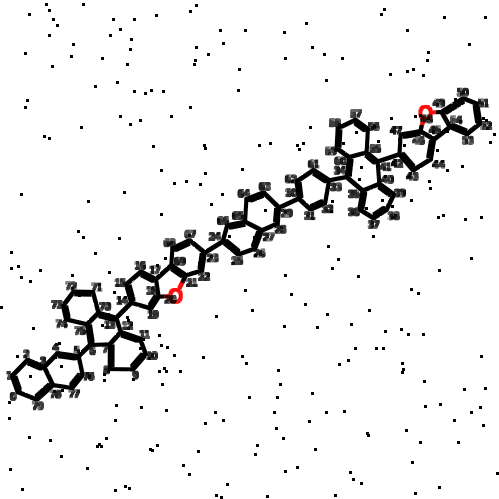 c1ccc2cc(-c3c4ccccc4c(-c4ccc5c(c4)oc4cc(-c6ccc7cc(-c8ccc(-c9c%10ccccc%10c(-c%10ccc%11c(c%10)oc%10ccccc%10%11)c%10ccccc9%10)cc8)ccc7c6)ccc45)c4ccccc34)ccc2c1